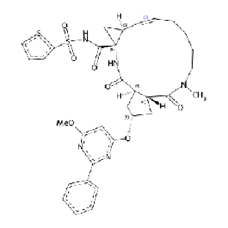 COc1cc(O[C@@H]2C[C@H]3C(=O)N[C@]4(C(=O)NS(=O)(=O)c5cccs5)C[C@H]4/C=C\CCCCN(C)C(=O)[C@@H]3C2)nc(-c2ccccc2)n1